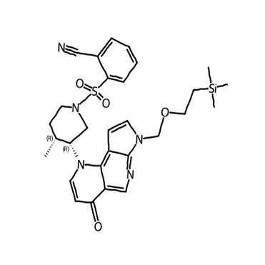 C[C@@H]1CCN(S(=O)(=O)c2ccccc2C#N)C[C@@H]1n1ccc(=O)c2cnc3c(ccn3COCC[Si](C)(C)C)c21